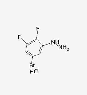 Cl.NNc1cc(Br)cc(F)c1F